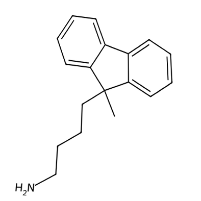 CC1(CCCCN)c2ccccc2-c2ccccc21